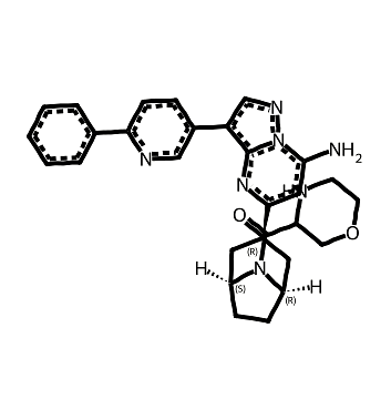 Nc1cc([C@H]2C[C@H]3CC[C@@H](C2)N3C(=O)C2COCCN2)nc2c(-c3ccc(-c4ccccc4)nc3)cnn12